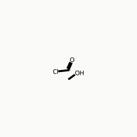 CO.O=[C]Cl